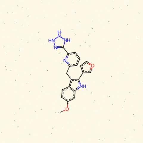 COc1ccc2c(Cc3cccc(C4=NNNN4)n3)c(-c3ccoc3)[nH]c2c1